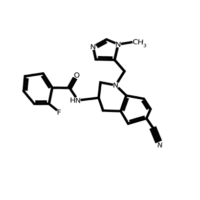 Cn1cncc1CN1CC(NC(=O)c2ccccc2F)Cc2cc(C#N)ccc21